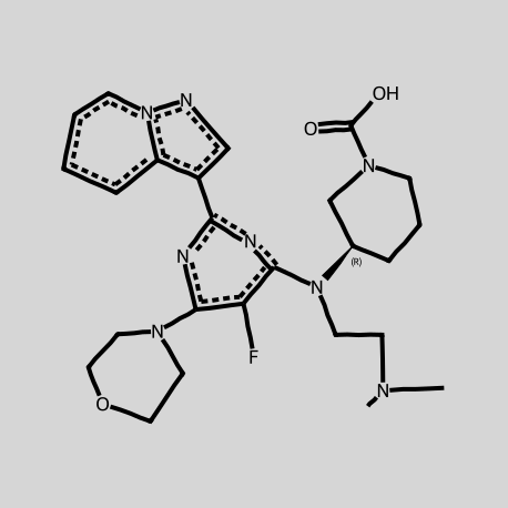 CN(C)CCN(c1nc(-c2cnn3ccccc23)nc(N2CCOCC2)c1F)[C@@H]1CCCN(C(=O)O)C1